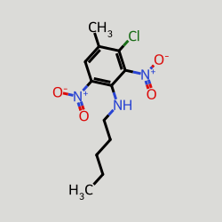 CCCCCNc1c([N+](=O)[O-])cc(C)c(Cl)c1[N+](=O)[O-]